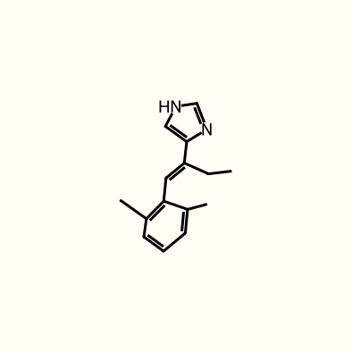 CC/C(=C\c1c(C)cccc1C)c1c[nH]cn1